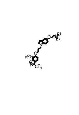 CCCc1c(OCCCn2ccc3cc(OCCN(CC)CC)ccc32)ccc2c(C(F)(F)F)noc12